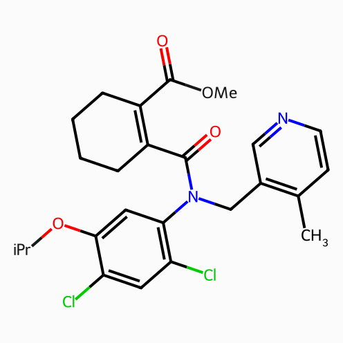 COC(=O)C1=C(C(=O)N(Cc2cnccc2C)c2cc(OC(C)C)c(Cl)cc2Cl)CCCC1